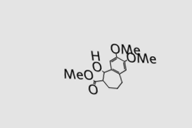 COC(=O)C1CCCc2cc(OC)c(OC)cc2C1O